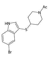 CC(=O)N1CCC(Sc2c[nH]c3ccc(Br)cc23)CC1